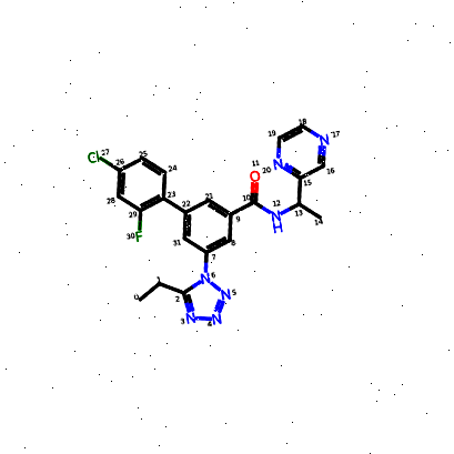 CCc1nnnn1-c1cc(C(=O)NC(C)c2cnccn2)cc(-c2ccc(Cl)cc2F)c1